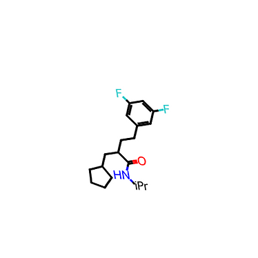 CC(C)NC(=O)C(CCc1cc(F)cc(F)c1)CC1CCCC1